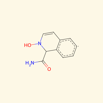 NC(=O)C1c2cc[c]cc2C=CN1O